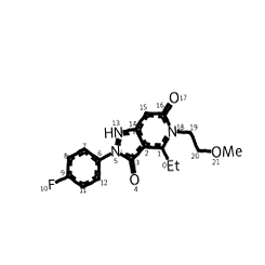 CCc1c2c(=O)n(-c3ccc(F)cc3)[nH]c2cc(=O)n1CCOC